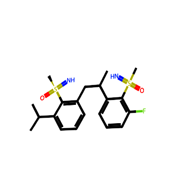 CC(C)c1cccc(CC(C)c2cccc(F)c2S(C)(=N)=O)c1[S@@](C)(=N)=O